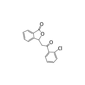 O=C(CC1OC(=O)c2ccccc21)c1ccccc1Cl